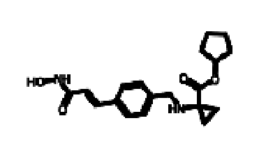 O=C(/C=C/c1ccc(CNC2(C(=O)OC3CCCC3)CC2)cc1)NO